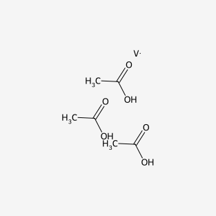 CC(=O)O.CC(=O)O.CC(=O)O.[V]